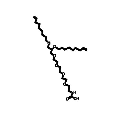 C=CCCCCCCCOCC(COCCOCCOCCOCCNC(=O)O)OCCCCCCCC=C